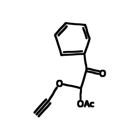 C#COC(OC(C)=O)C(=O)c1ccccc1